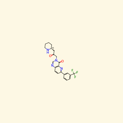 O=C(C[C@@H]1CCCCN1)Cn1cnc2ccc(-c3cccc(C(F)(F)F)c3)nc2c1=O